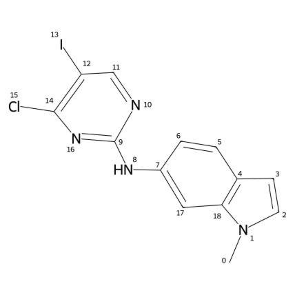 Cn1ccc2ccc(Nc3ncc(I)c(Cl)n3)cc21